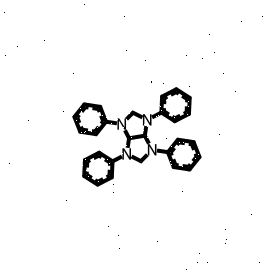 c1ccc(N2CN(c3ccccc3)C3C2N(c2ccccc2)CN3c2ccccc2)cc1